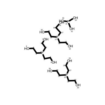 OCCP(CCO)CCO.OCCP(CCO)CCO.OCCP(CCO)CCO.OP(O)O